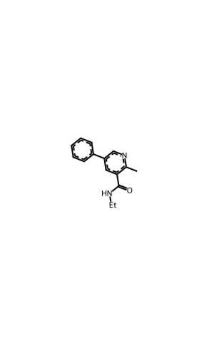 CCNC(=O)c1cc(-c2ccccc2)cnc1C